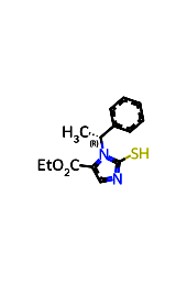 CCOC(=O)c1cnc(S)n1[C@H](C)c1ccccc1